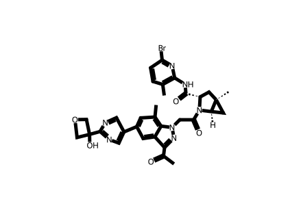 CC(=O)c1nn(CC(=O)N2[C@H](C(=O)Nc3nc(Br)ccc3C)C[C@@]3(C)C[C@@H]23)c2c(C)cc(-c3cnc(C4(O)COC4)nc3)cc12